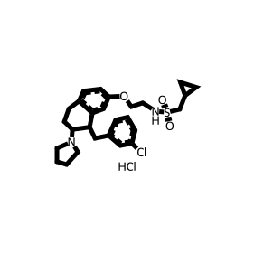 Cl.O=S(=O)(CC1CC1)NCCOc1ccc2c(c1)C(Cc1cccc(Cl)c1)C(N1CCCC1)CC2